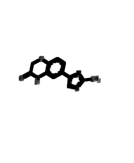 Cc1nc(-c2ccc3c(c2)NC(=O)CO3)cs1